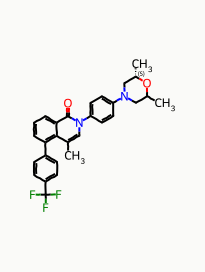 Cc1cn(-c2ccc(N3CC(C)O[C@@H](C)C3)cc2)c(=O)c2cccc(-c3ccc(C(F)(F)F)cc3)c12